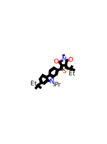 CCC(C)(C)c1ccc2c3ccc(-c4sc(C(C)(C)CC)c5c4C(=O)N(C)C5=O)cc3n(C(C)C)c2c1